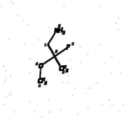 NCC(F)(OC(F)(F)F)C(F)(F)F